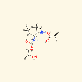 C=C(C)C(=O)ONCC1(C)CC(NC(=O)OCC(C)O)CC(C)(C)C1